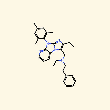 CCc1nc2n(-c3c(C)cc(C)cc3C)c3ncccc3n2c1CN(CC)CCc1ccccc1